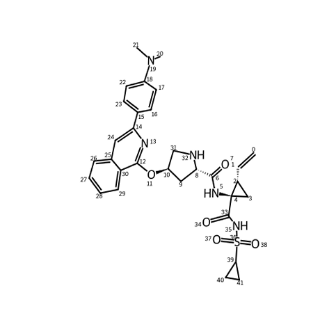 C=C[C@@H]1C[C@]1(NC(=O)[C@@H]1C[C@@H](Oc2nc(-c3ccc(N(C)C)cc3)cc3ccccc23)CN1)C(=O)NS(=O)(=O)C1CC1